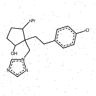 CCCC1CCC(O)C1(CCc1ccc(Cl)cc1)Cn1cncn1